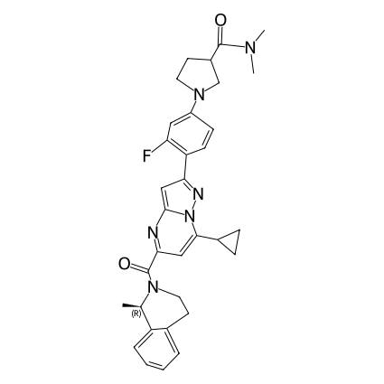 C[C@@H]1c2ccccc2CCN1C(=O)c1cc(C2CC2)n2nc(-c3ccc(N4CCC(C(=O)N(C)C)C4)cc3F)cc2n1